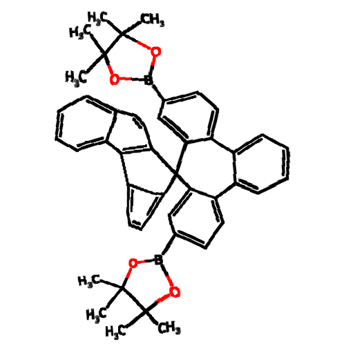 CC1(C)OB(c2ccc3c(c2)C2(c4cc(B5OC(C)(C)C(C)(C)O5)ccc4-c4ccccc4-3)c3ccccc3-c3c2ccc2ccccc32)OC1(C)C